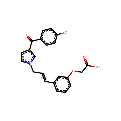 O=C(O)COc1cccc(/C=C/Cn2ccc(C(=O)c3ccc(Cl)cc3)c2)c1